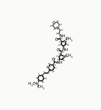 CN(C)c1ccc(/C=C/c2ccc(C(=O)Nc3cc(C(=O)Nc4cc(C(=O)NCCN5CCOCC5)n(C)c4)n(C)c3)cn2)cc1